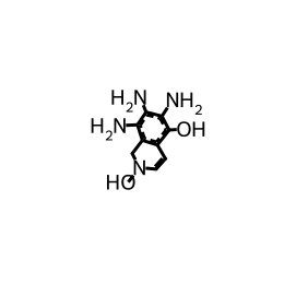 Nc1c(N)c(O)c2c(c1N)CN(O)C=C2